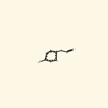 Fc1ccc(C[C]=S)cc1